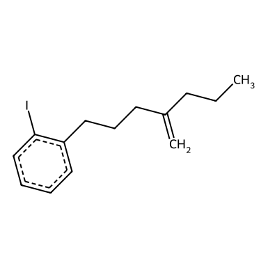 C=C(CCC)CCCc1ccccc1I